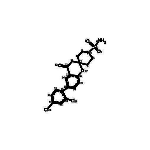 NS(=O)(=O)N1CCC2(CC1)CC(=O)c1cc(-c3ccc(Cl)cc3Cl)ccc1O2